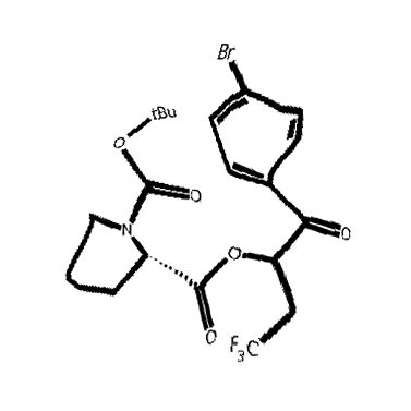 CC(C)(C)OC(=O)N1CCC[C@H]1C(=O)OC(CC(F)(F)F)C(=O)c1ccc(Br)cc1